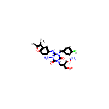 CCc1oc2ccc(/N=c3\n(N)c(=O)n(CC(CO)CON)c(=O)n3Cc3ccc(Cl)cc3)cc2c1C